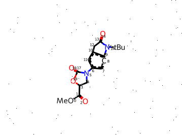 COC(=O)C1CN(c2ccc3c(c2)CC(=O)N3C(C)(C)C)C(=O)O1